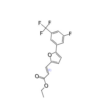 CCOC(=O)/C=C/c1ccc(-c2cc(F)cc(C(F)(F)F)c2)o1